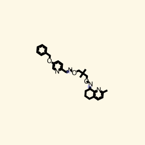 Cc1ccc2c(n1)/C(=N/OCC(C)(C)CO/N=C/c1ccc(OCc3ccccc3)cn1)CCC2